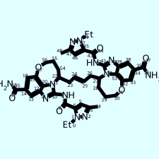 CCn1nc(C)cc1C(=O)Nc1nc2cc(C(N)=O)cc3c2n1C(C/C=C/CC1CCCOc2cc(C(N)=O)cc4nc(NC(=O)c5cc(C)nn5CC)n1c24)CCCO3